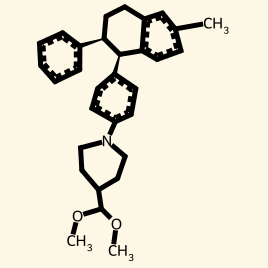 COC(OC)C1CCN(c2ccc([C@@H]3c4ccc(C)cc4CC[C@@H]3c3ccccc3)cc2)CC1